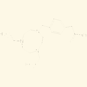 CC(C)C(=O)Cc1ccc(CN2CCN(CC(=O)O)CCN(CC(=O)O)CC2)cc1